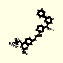 CN(c1ccnc(NCCc2ccc([C@H](CC(C)(C)C)OC(N)=O)cc2)n1)c1ccnc(-c2ccccc2)n1